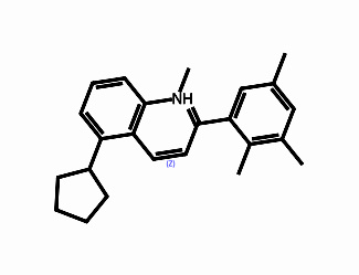 C=C(/C=C\c1c(NC)cccc1C1CCCC1)c1cc(C)cc(C)c1C